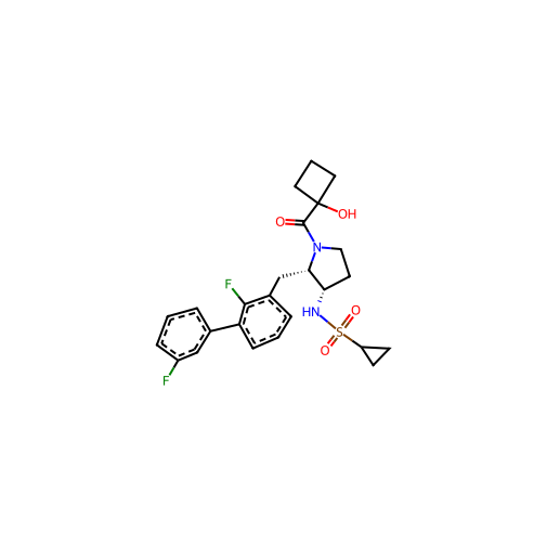 O=C(N1CC[C@H](NS(=O)(=O)C2CC2)[C@@H]1Cc1cccc(-c2cccc(F)c2)c1F)C1(O)CCC1